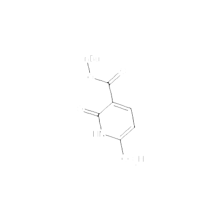 CCCCOC(=O)c1ccc(C(=O)O)[nH]c1=O